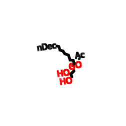 CC(C)=O.CCCCCCCCCCCCCCCCCC(=O)OCC(O)CO